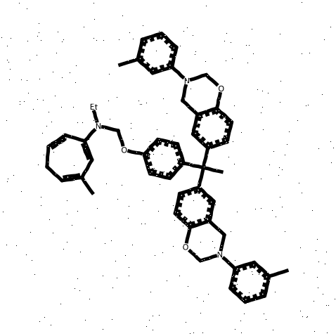 CCN(COc1ccc(C(C)(c2ccc3c(c2)CN(c2cccc(C)c2)CO3)c2ccc3c(c2)CN(c2cccc(C)c2)CO3)cc1)C1=CC(C)=CCC=C1